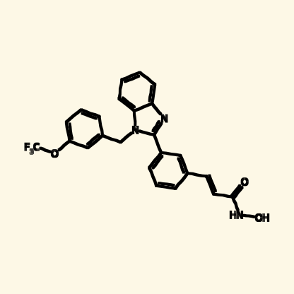 O=C(C=Cc1cccc(-c2nc3ccccc3n2Cc2cccc(OC(F)(F)F)c2)c1)NO